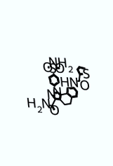 NC(=O)c1nn(-c2ccc(S(N)(=O)=O)cc2)c2c1CCc1ccc(NC(=O)c3cccs3)cc1-2